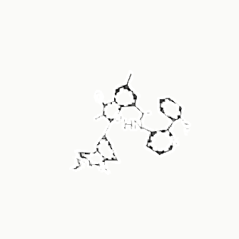 Cc1cc([C@@H](C)Nc2cccnc2-c2ccccc2F)c2oc(-c3ccc4nn(C)cc4c3)c(C)c(=O)c2c1